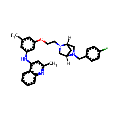 Cc1cc(Nc2cc(OCCN3C[C@@H]4C[C@H]3CN4Cc3ccc(F)cc3)cc(C(F)(F)F)c2)c2ccccc2n1